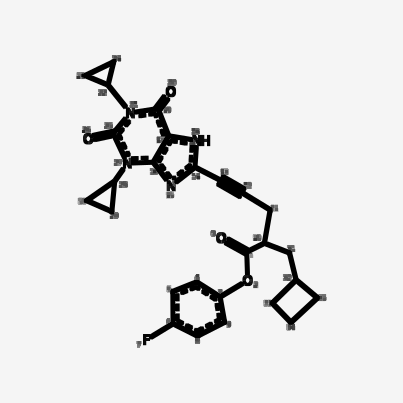 O=C(Oc1ccc(F)cc1)C(CC#Cc1nc2c([nH]1)c(=O)n(C1CC1)c(=O)n2C1CC1)CC1CCC1